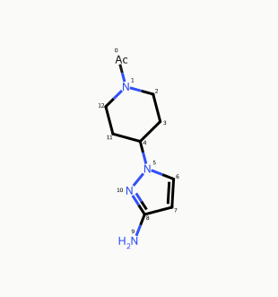 CC(=O)N1CCC(n2ccc(N)n2)CC1